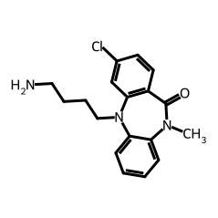 CN1C(=O)c2ccc(Cl)cc2N(CCCCN)c2ccccc21